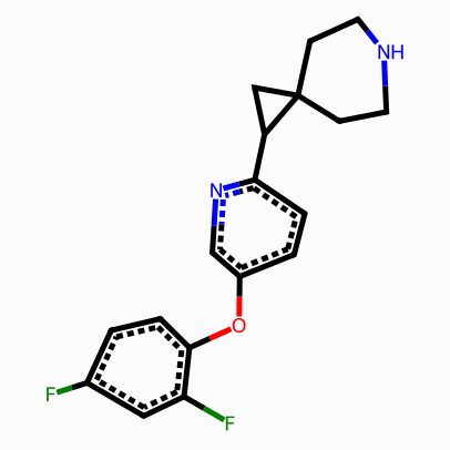 Fc1ccc(Oc2ccc(C3CC34CCNCC4)nc2)c(F)c1